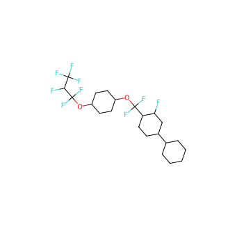 FC1CC(C2CCCCC2)CCC1C(F)(F)OC1CCC(OC(F)(F)C(F)C(F)(F)F)CC1